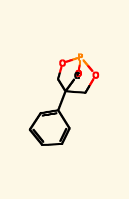 c1ccc(C23COP(OC2)OC3)cc1